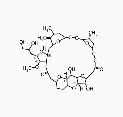 C=C1CC2CCC(=O)CC3OC4C(O)[C@H]5OC(CCC5O[C@H]4C3O)CC(=O)CC3[C@H](CC4OC(CCC1O2)CC(C)C4=C)O[C@H](CC(O)CO)[C@@H]3OC